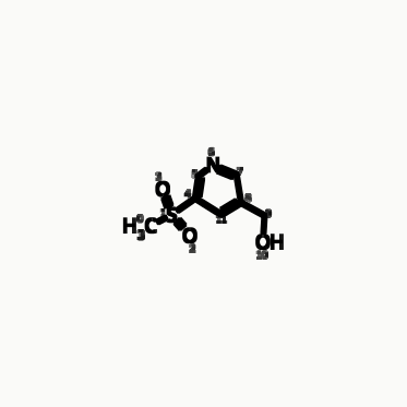 CS(=O)(=O)c1cncc(CO)c1